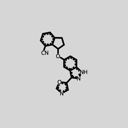 N#Cc1cccc2c1C(Oc1ccc3[nH]nc(-c4cnco4)c3c1)CC2